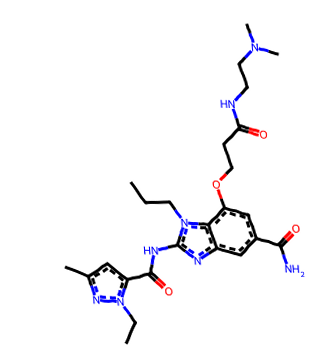 CCCn1c(NC(=O)c2cc(C)nn2CC)nc2cc(C(N)=O)cc(OCCC(=O)NCCN(C)C)c21